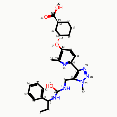 CCC(NC(O)NCc1c(-c2ccc(O[C@H]3CCC[C@H](C(=O)O)C3)c(C)n2)nnn1C)c1ccccc1